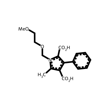 COCCOCn1c(C)c(C(=O)O)c(-c2ccccc2)c1C(=O)O